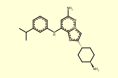 CC(C)c1cccc(Nc2cc(N)nn3cc([C@H]4CC[C@H](N)CC4)nc23)c1